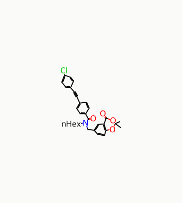 CCCCCCN(Cc1ccc2c(c1)C(=O)OC(C)(C)O2)C(=O)c1ccc(C#Cc2ccc(Cl)cc2)cc1